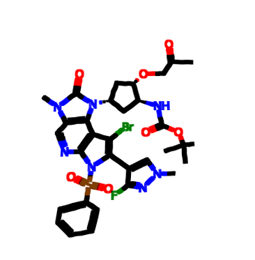 CC(=O)CO[C@H]1C[C@@H](n2c(=O)n(C)c3cnc4c(c(Br)c(-c5cn(C)nc5F)n4S(=O)(=O)c4ccccc4)c32)C[C@@H]1NC(=O)OC(C)(C)C